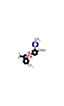 COc1ccc(S(=O)(=O)n2cc(C(F)F)c3ccc(C(F)(F)F)cc32)cc1N1CCN(C)CC1